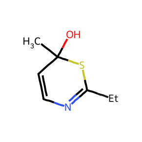 CCC1=NC=CC(C)(O)S1